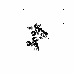 CC(C)(C)C(Cc1cc(-c2cccnc2F)c(S(=O)(=O)c2ccncc2)s1)NC(=O)O.CNCc1cc(-c2cccnc2F)c(S(=O)(=O)c2ccncc2)s1.Cl.Cl